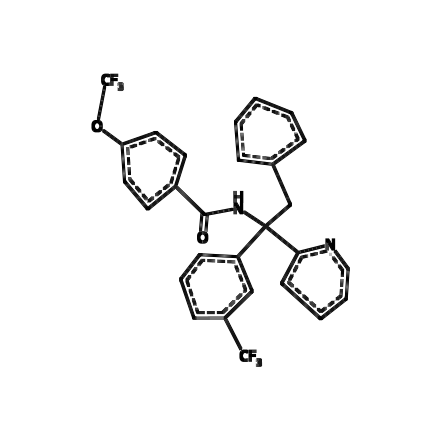 O=C(NC(Cc1ccccc1)(c1cccc(C(F)(F)F)c1)c1ccccn1)c1ccc(OC(F)(F)F)cc1